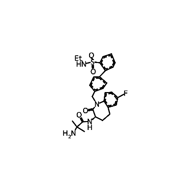 CCNS(=O)(=O)c1ccccc1-c1ccc(CN2C(=O)[C@H](NC(=O)C(C)(C)N)CCc3cc(F)ccc32)cc1